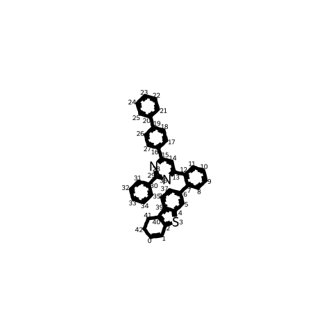 C1=Cc2sc3cc(-c4ccccc4-c4cc(-c5ccc(-c6ccccc6)cc5)nc(-c5ccccc5)n4)ccc3c2CC1